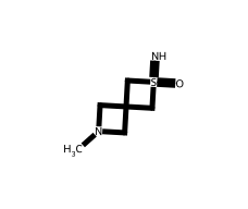 CN1CC2(C1)CS(=N)(=O)C2